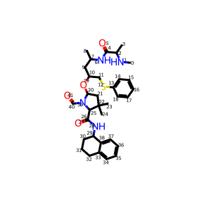 CNC(C)C(=O)NC(C)CC(CSc1ccccc1)OC1CC(C)(C)C(C(=O)NC2CCCc3ccccc32)N1C=O